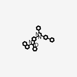 c1ccc(-c2ccc(-c3cc(-c4ccccc4)nc(-c4ccc5nc(-c6cccc7ccccc67)c6c7ccccc7oc6c5c4)n3)cc2)cc1